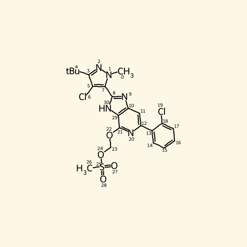 Cn1nc(C(C)(C)C)c(Cl)c1-c1nc2cc(-c3ccccc3Cl)nc(OCOS(C)(=O)=O)c2[nH]1